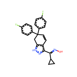 ON=C(c1n[nH]c2c1C=CC(c1ccc(F)cc1)(c1ccc(F)cc1)C2)C1CC1